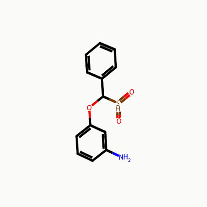 Nc1cccc(OC(c2ccccc2)[SH](=O)=O)c1